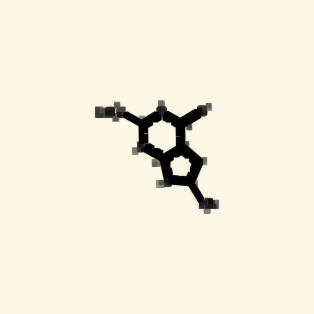 CCCCc1cc2c(=O)oc(C(=O)OCC)nc2s1